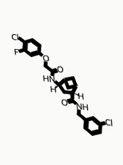 O=C(COc1ccc(Cl)c(F)c1)N[C@@H]1C[C@H](C(=O)NCc2cccc(Cl)c2)C2CC1C2